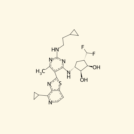 Cc1nc(NCCC2CC2)nc(N[C@@H]2C[C@H](C(F)F)[C@@H](O)[C@H]2O)c1-c1nc2c(C3CC3)nccc2s1